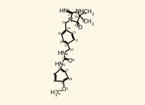 COc1ccc(NC(=O)NCc2ccc(CN3C(=N)NC(C)(C)C3=O)cc2)cc1